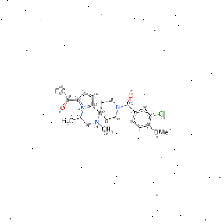 COc1ccc(C(=O)N2CCC3(CC2)c2ccc(C(=O)C(F)(F)F)n2C(C)CN3C)cc1Cl